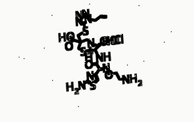 C=CCn1nnnc1SCC1(C(=O)O)CS[C@@H]2C(NC(=O)C(=NOCCN)c3csc(N)n3)C(=O)N2C1.Cl.Cl